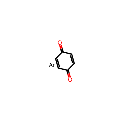 O=C1C=CC(=O)C=C1.[Ar]